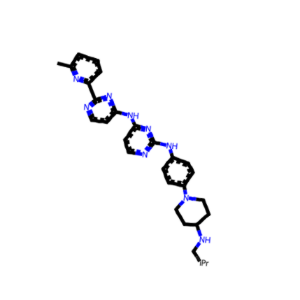 Cc1cccc(-c2nccc(Nc3ccnc(Nc4ccc(N5CCC(NCC(C)C)CC5)cc4)n3)n2)n1